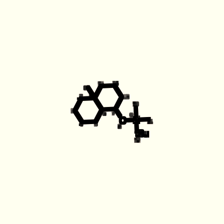 CC12[CH]CCCC1C(O[Si](C)(C)C(C)(C)C)CCC2